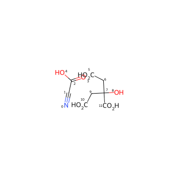 N#CC(=O)O.O=C(O)CC(O)(CC(=O)O)C(=O)O